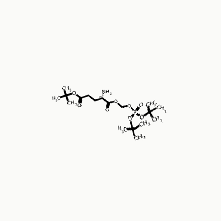 CC(C)(C)OC(=O)CC[C@H](N)C(=O)OCOP(=O)(OC(C)(C)C)OC(C)(C)C